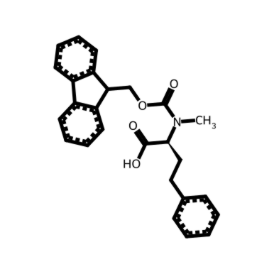 CN(C(=O)OCC1c2ccccc2-c2ccccc21)[C@@H](CCc1ccccc1)C(=O)O